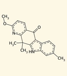 COc1ccc2c(n1)C(C)(C)c1[nH]c3cc(C)ccc3c1C2=O